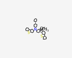 C[Si]1(C)c2cc(N(c3ccc(-c4ccccc4)cc3)c3ccc4sc5ccccc5c4c3)ccc2-c2c1ccc1c2sc2ccccc21